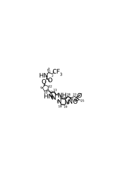 CC(CC(F)(F)F)NC(=O)O[C@@H]1CC[C@H](c2cc(Nc3nccn4nc(CS(C)(=O)=O)cc34)n[nH]2)C1